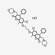 Cc1c(OCCCOc2c(Cl)cc3c(-c4ccccc4)c(CN4CCOCC4)c(=O)oc3c2C)c(Cl)cc2c(-c3ccccc3)c(CN3CCOCC3)c(=O)oc12.Cl